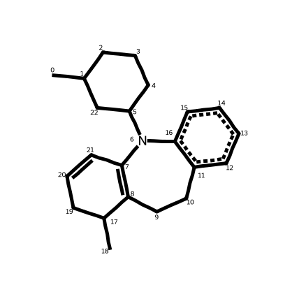 CC1CCCC(N2C3=C(CCc4ccccc42)C(C)CC=C3)C1